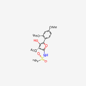 CCCS(=O)(=O)Nc1oc(-c2ccc(OC)cc2OC)c(O)c1OC(C)=O